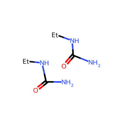 CCNC(N)=O.CCNC(N)=O